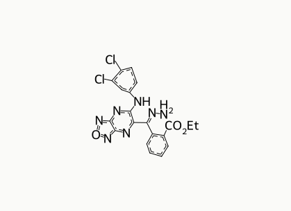 CCOC(=O)c1ccccc1C(=NN)c1nc2nonc2nc1Nc1ccc(Cl)c(Cl)c1